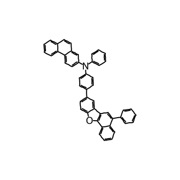 c1ccc(-c2cc3c4cc(-c5ccc(N(c6ccccc6)c6ccc7c(ccc8ccccc87)c6)cc5)ccc4oc3c3ccccc23)cc1